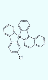 Clc1ccc2c(c1)[Si]1(c3ccccc3-2)c2ccccc2-c2c1ccc1ccccc21